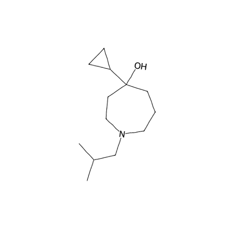 CC(C)CN1CCCC(O)(C2CC2)CC1